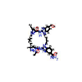 CCn1nc(C)c2c1C(=O)Nc1nc3cc(C(N)=O)ccc3n1CCCCn1c(nc3cc(C=O)ccc31)NC(=O)c1cc(C)nn1CCCCC2